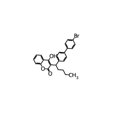 CCCCC(c1ccc(-c2ccc(Br)cc2)cc1)c1c(O)c2ccccc2oc1=O